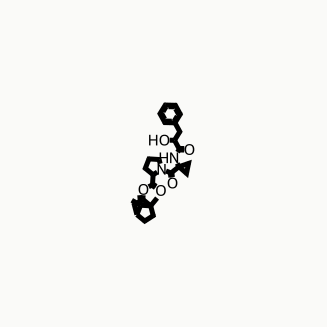 CC1(C)C2CCC1(C)C(OC(=O)C1CCCN1C(=O)C1(NC(=O)C(O)Cc3ccccc3)CC1)C2